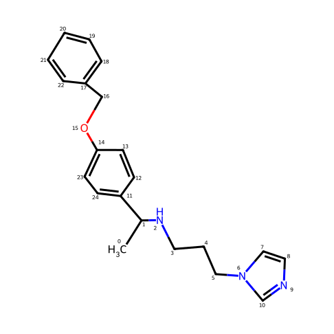 CC(NCCCn1ccnc1)c1ccc(OCc2ccccc2)cc1